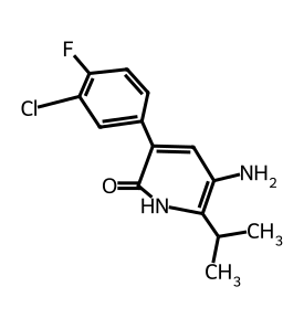 CC(C)c1[nH]c(=O)c(-c2ccc(F)c(Cl)c2)cc1N